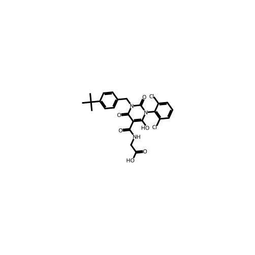 CC(C)(C)c1ccc(Cn2c(=O)c(C(=O)NCC(=O)O)c(O)n(-c3c(Cl)cccc3Cl)c2=O)cc1